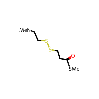 CNCCSSCCC(=O)SC